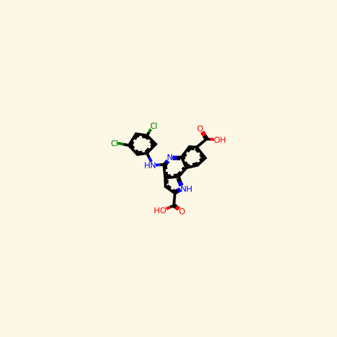 O=C(O)c1ccc2c(c1)nc(Nc1cc(Cl)cc(Cl)c1)c1cc(C(=O)O)[nH]c12